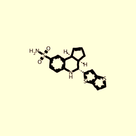 NS(=O)(=O)c1ccc2c(c1)[C@H]1C=CC[C@H]1[C@H](c1cc3sccc3s1)N2